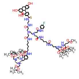 COC(=O)CCC(NC(=O)NC(CCCCNC(=O)CCCCCNC(=O)CCN(CCC(=O)Nc1ccc(F)cc1)CCN(CCC(=O)NCCCCCCC(=O)Nc1ccc(CC2CN(CC(=O)OC(C)(C)C)CCN(CC(=O)OC(C)(C)C)CCN2CC(=O)OC(C)(C)C)cc1)CCC(=O)NCCNC(=S)c1ccc(C2c3ccc(O)cc3Cc3cc(O)ccc32)c(C(=O)O)c1)C(=O)OC(C)(C)C)C(=O)OC(C)(C)C